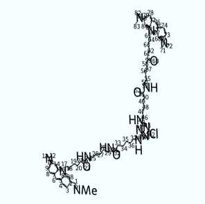 CNCc1ccc2cc3ccc(N(C)C)cc3[n+](CCCCCC(=O)NCCCCCNC(=O)CCCCCNc3nc(Cl)nc(NCCCCCC(=O)NCCCCCC(=O)CCCCC[n+]4c5cc(N(C)C)ccc5cc5ccc(N(C)C)cc54)n3)c2c1